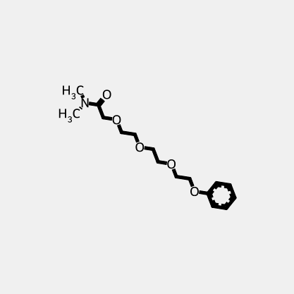 CN(C)C(=O)COCCOCCOCCOc1ccccc1